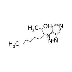 CCCCCCC(C(C)O)n1nnc2cnccc21